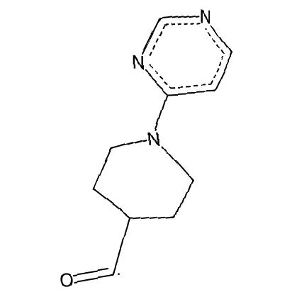 O=[C]C1CCN(c2ccncn2)CC1